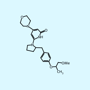 COCC(C)Oc1ccc(CC2CCCN2c2cc(N3CCOCC3)cc(=O)[nH]2)cc1